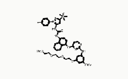 COCCOCCOCCOc1cc(Nc2nccc(Oc3ccc(NC(=O)Nc4cc([SH](C)(C)(C)C)nn4-c4ccc(C)cc4)c4ccccc34)n2)cc(OC)c1